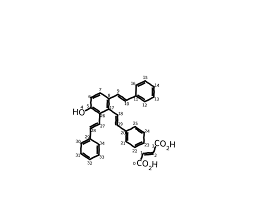 O=C(O)C=CC(=O)O.Oc1ccc(C=Cc2ccccc2)c(C=Cc2ccccc2)c1C=Cc1ccccc1